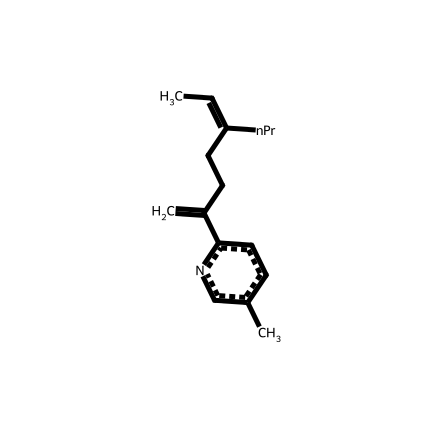 C=C(CC/C(=C\C)CCC)c1ccc(C)cn1